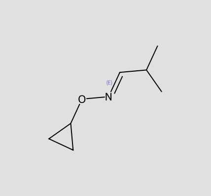 CC(C)/C=N/OC1CC1